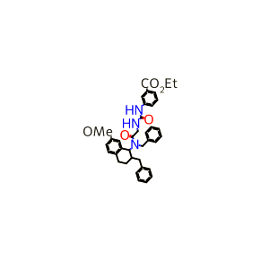 CCOC(=O)c1cccc(NC(=O)NCC(=O)N(Cc2ccccc2)C2c3cc(OC)ccc3CCC2Cc2ccccc2)c1